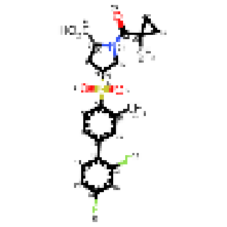 O=C(O)[C@@H]1C[C@@H](S(=O)(=O)c2ccc(-c3ccc(F)cc3F)cc2C(F)(F)F)CN1C(=O)C1(C(F)(F)F)CC1